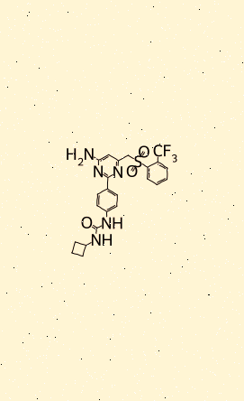 Nc1cc(CS(=O)(=O)c2ccccc2C(F)(F)F)nc(-c2ccc(NC(=O)NC3CCC3)cc2)n1